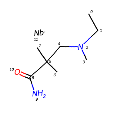 CCN(C)CC(C)(C)C(N)=O.[Nb]